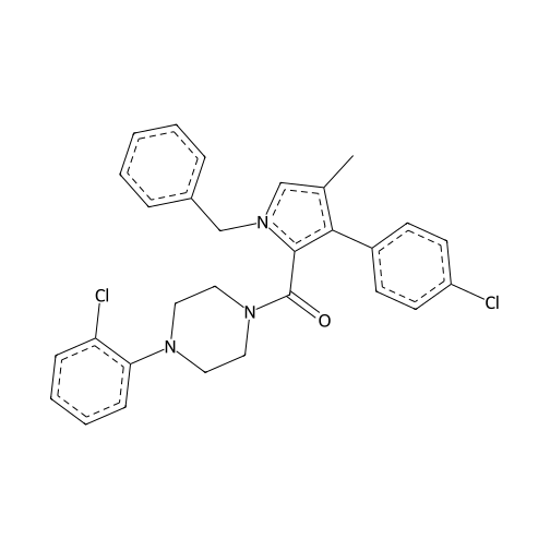 Cc1cn(Cc2ccccc2)c(C(=O)N2CCN(c3ccccc3Cl)CC2)c1-c1ccc(Cl)cc1